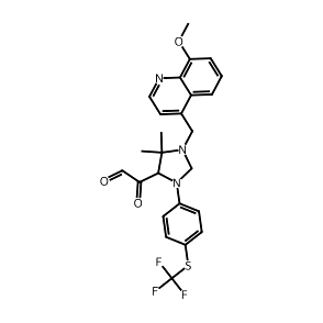 COc1cccc2c(CN3CN(c4ccc(SC(F)(F)F)cc4)C(C(=O)C=O)C3(C)C)ccnc12